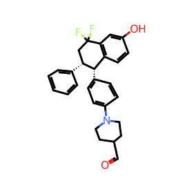 O=CC1CCN(c2ccc([C@H]3c4ccc(O)cc4C(F)(F)C[C@H]3c3ccccc3)cc2)CC1